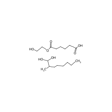 CCCCCCC(C)C(O)O.O=C(O)CCCCC(=O)OCCO